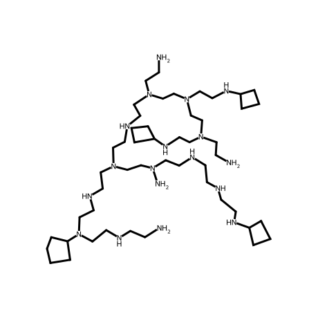 NCCNCCN(CCNCCN(CCNCCN(CCN)CCN(CCNC1CCC1)CCN(CCN)CCNC1CCC1)CCN(N)CCNCCNCCNC1CCC1)C1CCCC1